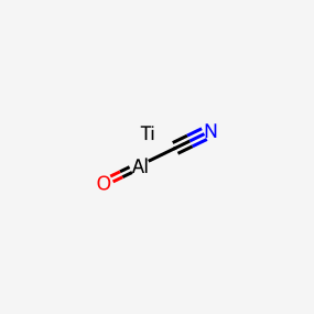 N#[C][Al]=[O].[Ti]